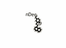 CCCCCCCCCCCCC1CCC(=O)C(CCc2cccc3ccccc23)C1